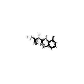 Cc1cccc(Br)c1NC(=N)NC(=N)N